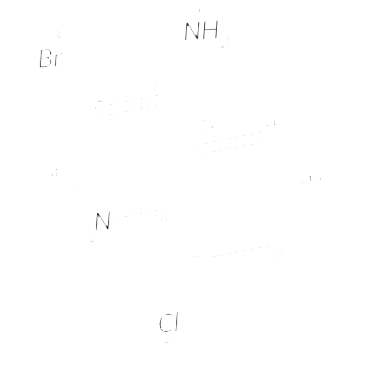 Nc1c(Br)cnc2c(Cl)cccc12